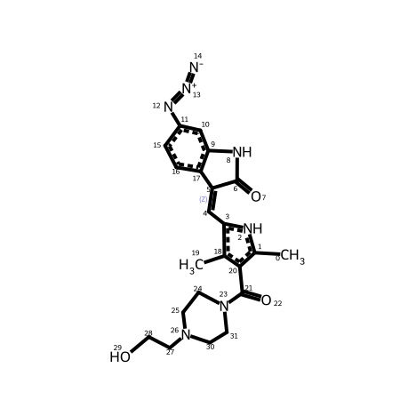 Cc1[nH]c(/C=C2\C(=O)Nc3cc(N=[N+]=[N-])ccc32)c(C)c1C(=O)N1CCN(CCO)CC1